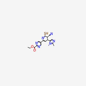 CCOC(=O)c1ncc(C2=CC(c3cnc(C)n3C)C(C#N)C(S)=N2)cn1